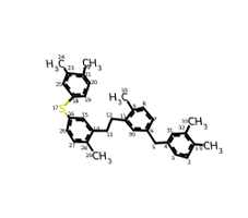 Cc1ccc(Cc2ccc(C)c(CCc3cc(Sc4ccc(C)c(C)c4)ccc3C)c2)cc1C